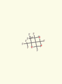 FC(F)(F)C(F)(C(F)(F)F)C(C(F)(F)F)(C(F)(F)F)C(F)(F)F